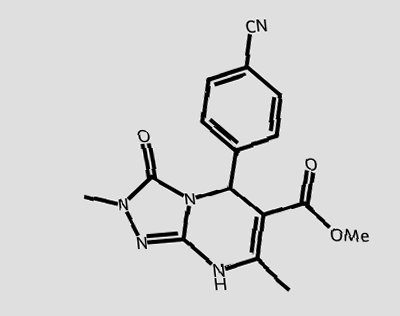 COC(=O)C1=C(C)Nc2nn(C)c(=O)n2C1c1ccc(C#N)cc1